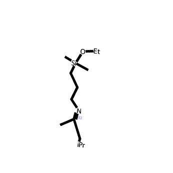 CCO[Si](C)(C)CCC/N=C(\C)CC(C)C